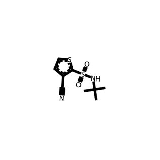 CC(C)(C)NS(=O)(=O)c1sccc1C#N